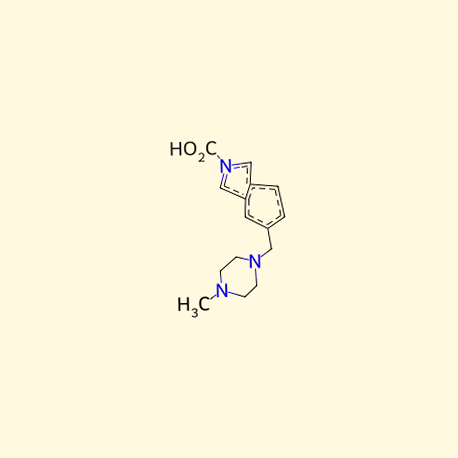 CN1CCN(Cc2ccc3cn(C(=O)O)cc3c2)CC1